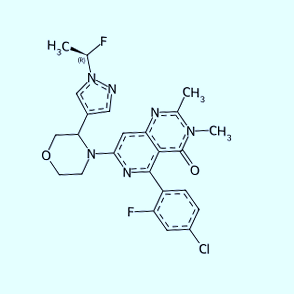 Cc1nc2cc(N3CCOCC3c3cnn([C@@H](C)F)c3)nc(-c3ccc(Cl)cc3F)c2c(=O)n1C